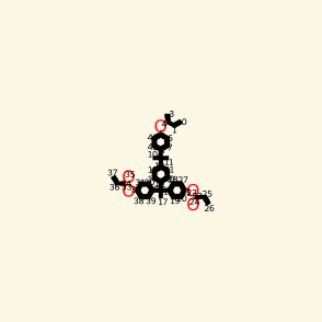 C=CC(=C)Oc1ccc(C(C)(C)c2ccc(C(C)(c3ccc(OC(=O)C=C)cc3)c3ccc(OC(=O)C=C)cc3)cc2)cc1